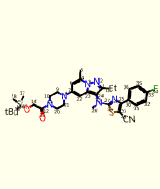 CCc1nn2c(C)cc(N3CCN(C(=O)CO[Si](C)(C)C(C)(C)C)CC3)cc2c1N(C)c1nc(-c2ccc(F)cc2)c(C#N)s1